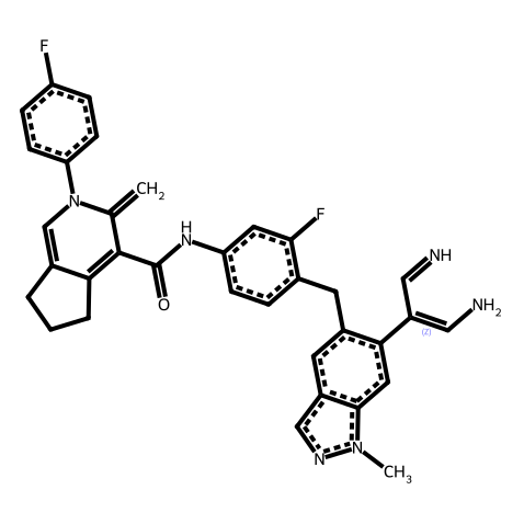 C=C1C(C(=O)Nc2ccc(Cc3cc4cnn(C)c4cc3/C(C=N)=C/N)c(F)c2)=C2CCCC2=CN1c1ccc(F)cc1